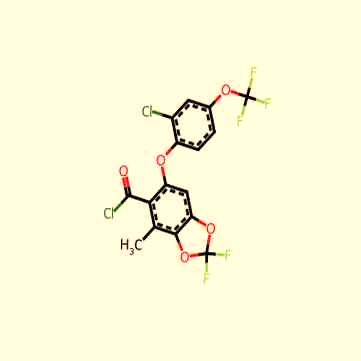 Cc1c2c(cc(Oc3ccc(OC(F)(F)F)cc3Cl)c1C(=O)Cl)OC(F)(F)O2